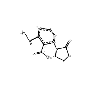 CCCNc1nccc(N2CCCC2=O)c1C(N)=O